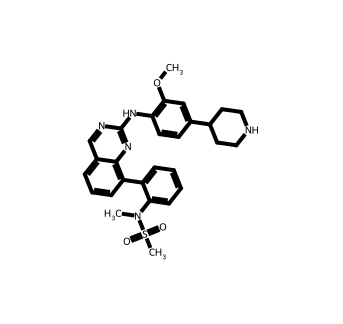 COc1cc(C2CCNCC2)ccc1Nc1ncc2cccc(-c3ccccc3N(C)S(C)(=O)=O)c2n1